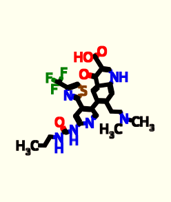 CCCNC(=O)Nc1cc(-c2nc(C(F)(F)F)cs2)c(-c2cc3c(=O)c(C(=O)O)c[nH]c3cc2CCN(C)C)cn1